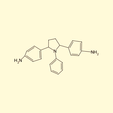 Nc1ccc(C2CCC(c3ccc(N)cc3)N2c2ccccc2)cc1